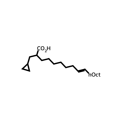 CCCCCCCC/C=C/CCCCCCC(CC1CC1)C(=O)O